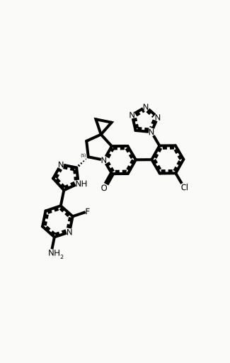 Nc1ccc(-c2cnc([C@@H]3CC4(CC4)c4cc(-c5cc(Cl)ccc5-n5cnnn5)cc(=O)n43)[nH]2)c(F)n1